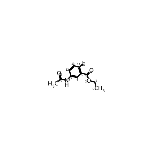 CCOC(=O)c1cc(NC(C)=O)ccc1F